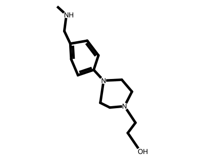 CNCc1ccc(N2CCN(CCO)CC2)cc1